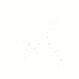 c1ccc(-c2ccc(-c3ccc(N(c4ccc(-c5ccc6c(ccc7ccccc76)c5)cc4)c4cccc(-c5cccc6c5c5ccc(-c7ccccc7)cc5n6-c5ccccc5)c4)cc3)cc2)cc1